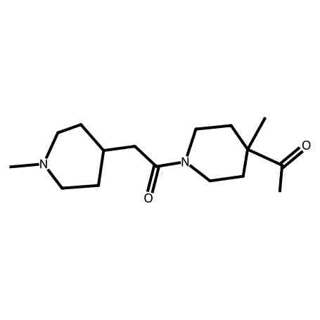 CC(=O)C1(C)CCN(C(=O)CC2CCN(C)CC2)CC1